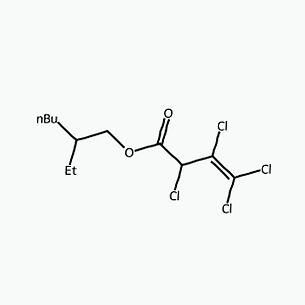 CCCCC(CC)COC(=O)C(Cl)C(Cl)=C(Cl)Cl